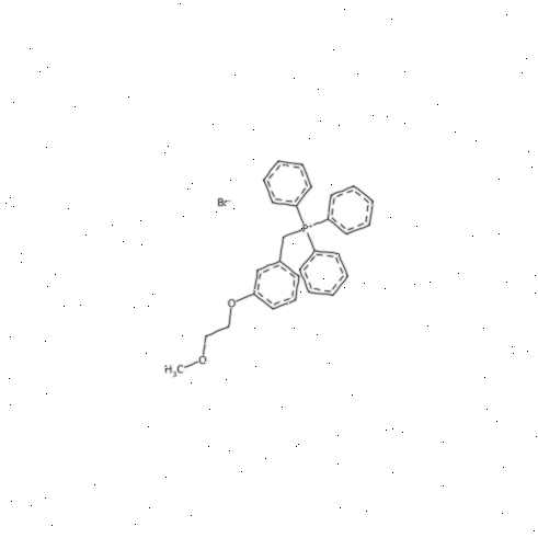 COCCOc1cccc(C[P+](c2ccccc2)(c2ccccc2)c2ccccc2)c1.[Br-]